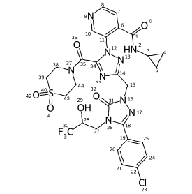 O=C(NC1CC1)c1ccncc1-n1nc(Cn2nc(-c3ccc(Cl)cc3)n(CC(O)C(F)(F)F)c2=O)nc1C(=O)N1CCS(=O)(=O)CC1